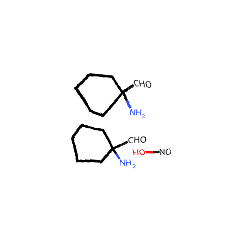 NC1(C=O)CCCCC1.NC1(C=O)CCCCC1.O=NO